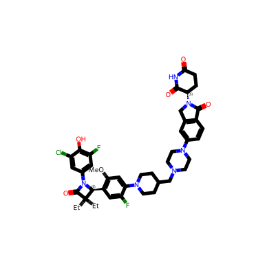 CCC1(CC)C(=O)N(c2cc(F)c(O)c(Cl)c2)[C@H]1c1cc(F)c(N2CCC(CN3CCN(c4ccc5c(c4)CN([C@H]4CCC(=O)NC4=O)C5=O)CC3)CC2)cc1OC